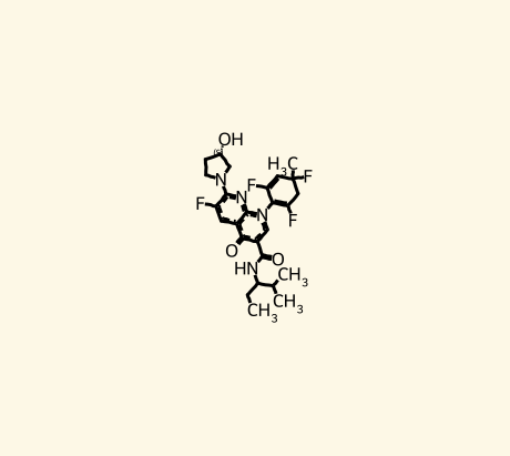 CCC(NC(=O)c1cn(C2=C(F)CC(C)(F)C=C2F)c2nc(N3CC[C@H](O)C3)c(F)cc2c1=O)C(C)C